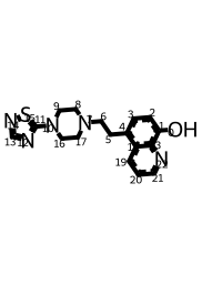 Oc1ccc(CCN2CCN(c3ncns3)CC2)c2cccnc12